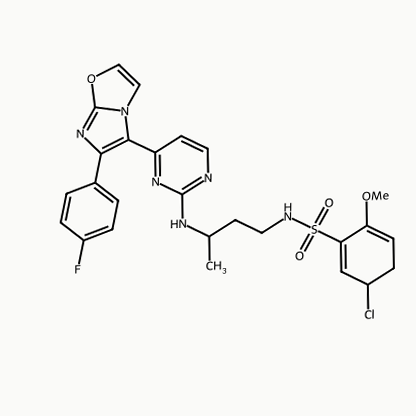 COC1=CCC(Cl)C=C1S(=O)(=O)NCCC(C)Nc1nccc(-c2c(-c3ccc(F)cc3)nc3occn23)n1